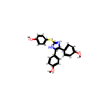 COc1ccc(Sc2nc(-c3ccc(OC)cc3)c(-c3ccc(OC)cc3)[nH]2)cc1